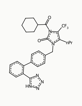 CCCc1c(C(F)(F)F)n(C(=O)C2CCCCC2)c(=O)n1Cc1ccc(-c2ccccc2-c2nnn[nH]2)cc1